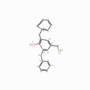 Oc1c(Cc2ccccc2)cc(CS)cc1Cc1ccccc1